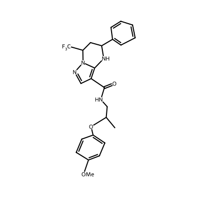 COc1ccc(OC(C)CNC(=O)c2cnn3c2NC(c2ccccc2)CC3C(F)(F)F)cc1